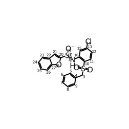 O=S(=O)(Cc1ccccc1)c1ccc(Cl)cc1N[S+]([O-])c1cc2ccccc2o1